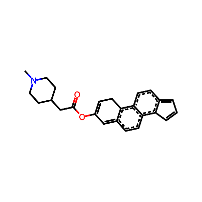 CN1CCC(CC(=O)OC2=CCc3c(ccc4c5c(ccc34)=CC=C5)=C2)CC1